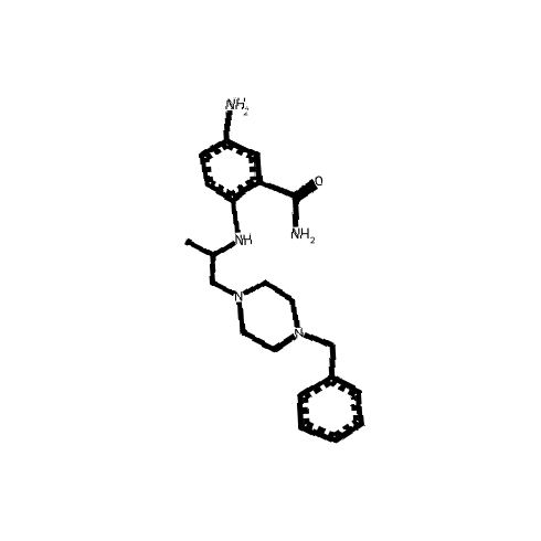 CC(CN1CCN(Cc2ccccc2)CC1)Nc1ccc(N)cc1C(N)=O